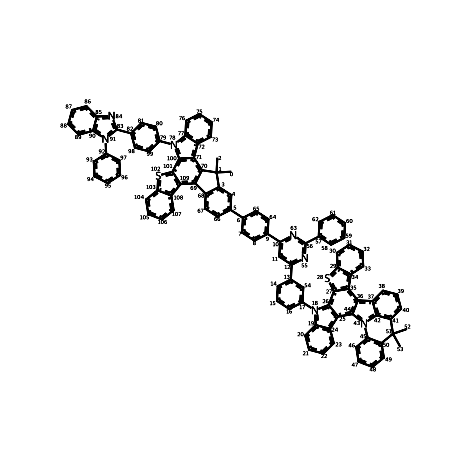 CC1(C)c2cc(-c3ccc(-c4cc(-c5cccc(-n6c7ccccc7c7c6c6sc8ccccc8c6c6c8cccc9c8n(c67)-c6ccccc6C9(C)C)c5)nc(-c5ccccc5)n4)cc3)ccc2-c2c1c1c3ccccc3n(-c3ccc(-c4nc5ccccc5n4-c4ccccc4)cc3)c1c1sc3ccccc3c21